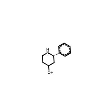 OC1CCN[C@H](c2ccccc2)C1